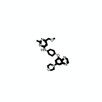 COCc1cc(N[C@H]2CC[C@@H](Oc3cc(N4CCOCC4)cc4nccnc34)CC2)nc(C)n1